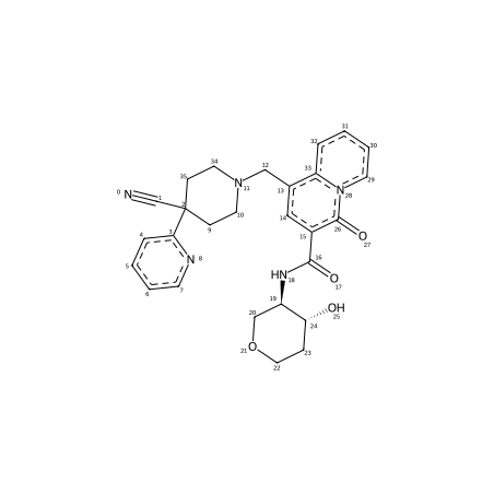 N#CC1(c2ccccn2)CCN(Cc2cc(C(=O)N[C@@H]3COCC[C@H]3O)c(=O)n3ccccc23)CC1